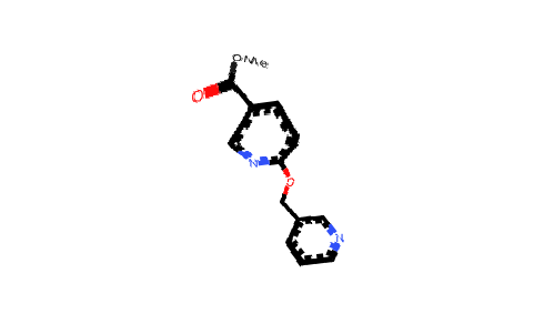 COC(=O)c1ccc(OCc2cccnc2)nc1